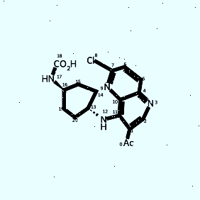 CC(=O)c1cnc2ccc(Cl)nc2c1N[C@H]1CC[C@H](NC(=O)O)CC1